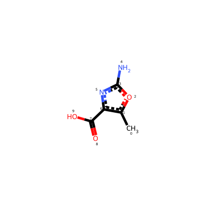 Cc1oc(N)nc1C(=O)O